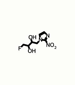 O=[N+]([O-])c1nccn1CC(O)C(O)CF